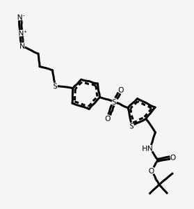 CC(C)(C)OC(=O)NCc1ccc(S(=O)(=O)c2ccc(SCCCN=[N+]=[N-])cc2)s1